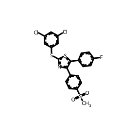 CS(=O)(=O)c1ccc(-c2nc(Sc3cc(Cl)cc(Cl)c3)sc2-c2ccc(F)cc2)cc1